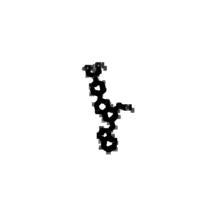 CCN(CC)c1ccc(C2COc3cc(Cn4cnc5cccnc54)cc(OC)c3O2)cn1